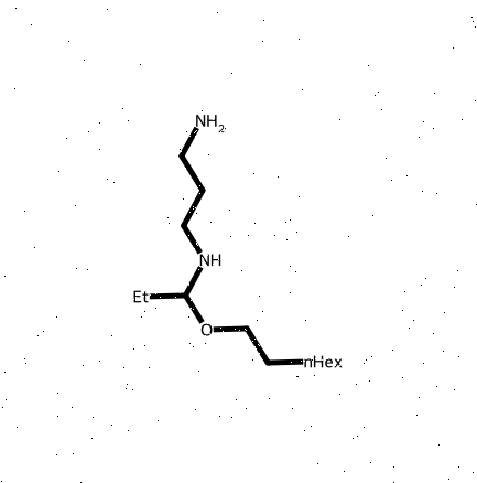 CCCCCCCCOC(CC)NCCCN